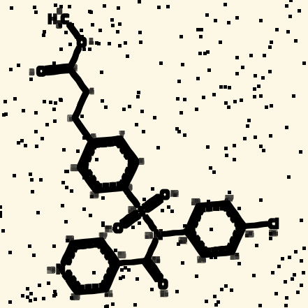 COC(=O)CCc1ccc(S(=O)(=O)N(C(=O)c2ccncc2)c2ccc(Cl)cc2)cc1